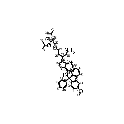 COc1ccc(C(Nc2ncnc3c2ncn3C(CN)CCOCP(=O)(OC(C)C)OC(C)C)(c2ccccc2)c2ccccc2)cc1